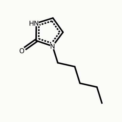 CCCCCn1cc[nH]c1=O